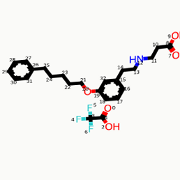 O=C(O)C(F)(F)F.O=C(O)CCNCCc1cccc(OCCCCCc2ccccc2)c1